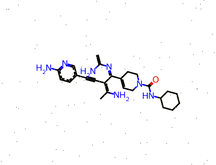 C=C(N)/N=C(C1=CCN(C(=O)NC2CCCCC2)CC1)\C(C#Cc1ccc(N)nc1)=C(\C)N